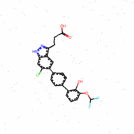 O=C(O)CCc1n[nH]c2cc(Cl)c(-c3ccc(-c4cccc(OC(F)F)c4O)cc3)cc12